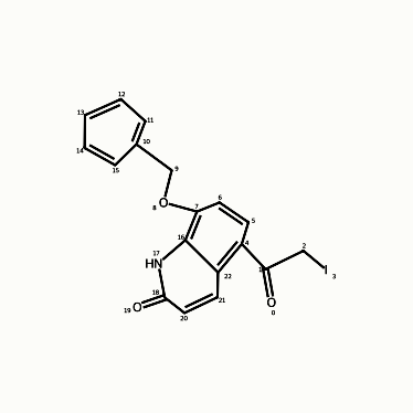 O=C(CI)c1ccc(OCc2ccccc2)c2[nH]c(=O)ccc12